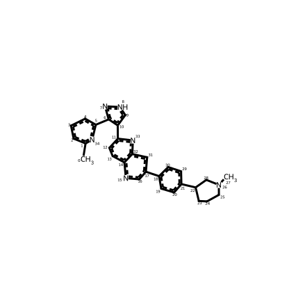 Cc1cccc(-c2n[nH]cc2-c2ccc3ncc(-c4ccc(C5CCCN(C)C5)cc4)cc3n2)n1